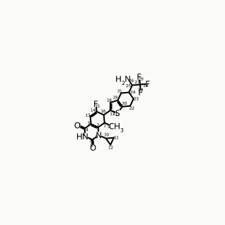 CC1c2c(c(=O)[nH]c(=O)n2C2CC2)C=C(F)C1c1cc2c(s1)CCC(C(N)C(F)(F)F)C2